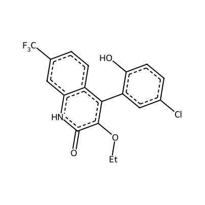 CCOc1c(-c2cc(Cl)ccc2O)c2ccc(C(F)(F)F)cc2[nH]c1=O